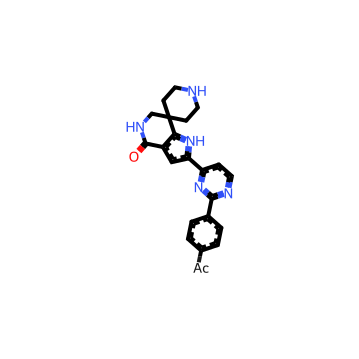 CC(=O)c1ccc(-c2nccc(-c3cc4c([nH]3)C3(CCNCC3)CNC4=O)n2)cc1